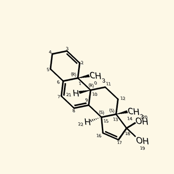 C[C@]12C=CCCC1=CC=C1[C@H]2CC[C@@]2(C)[C@H]1C=CC2(O)O